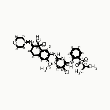 COc1cc2c(cc1Nc1ncc(Cl)c(Nc3ccccc3S(=O)(=O)C(C)C)n1)C(C)(C)/C(=N/N1CCOCC1)CC2